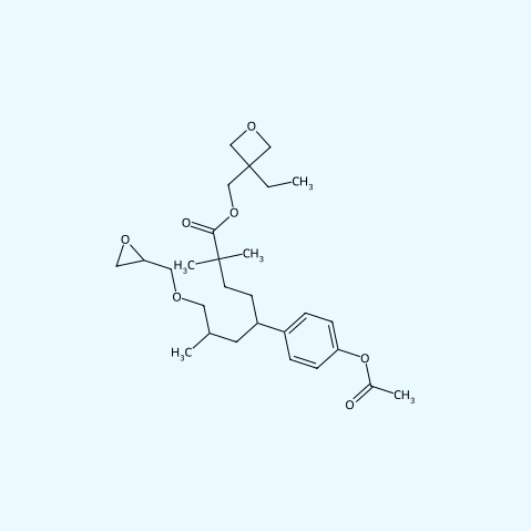 CCC1(COC(=O)C(C)(C)CCC(CC(C)COCC2CO2)c2ccc(OC(C)=O)cc2)COC1